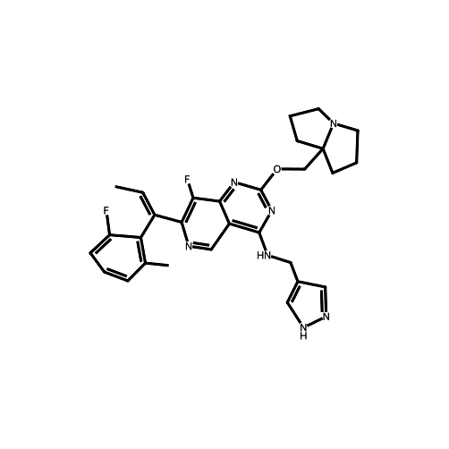 C/C=C(/c1ncc2c(NCc3cn[nH]c3)nc(OCC34CCCN3CCC4)nc2c1F)c1c(C)cccc1F